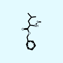 CSNC(CC(C)C)C(=O)OCc1ccccc1